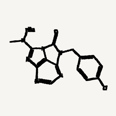 CCCCN(C)c1nc2ncnc3c2n1c(=O)n3Cc1ccc(Cl)cc1